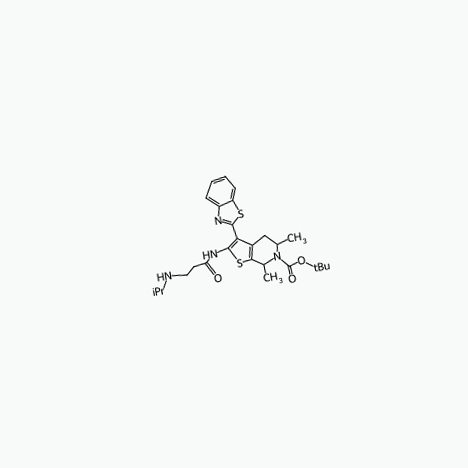 CC(C)NCCC(=O)Nc1sc2c(c1-c1nc3ccccc3s1)CC(C)N(C(=O)OC(C)(C)C)C2C